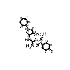 Cc1ccc(S(=O)(=O)/N=C(\N)Nc2sc(-c3ccccc3)cc2C(=O)O)cc1